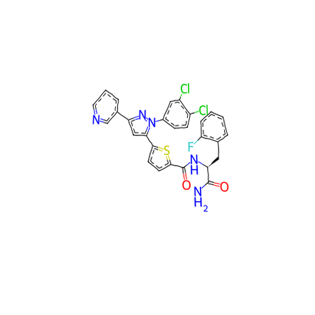 NC(=O)[C@H](Cc1ccccc1F)NC(=O)c1ccc(-c2cc(-c3cccnc3)nn2-c2ccc(Cl)c(Cl)c2)s1